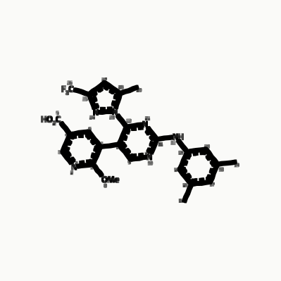 COc1ncc(C(=O)O)cc1-c1cnc(Nc2cc(C)cc(C)c2)nc1-n1nc(C(F)(F)F)cc1C